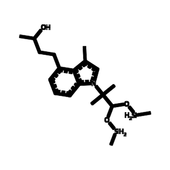 C[SiH2]OC(O[SiH2]C)C(C)(C)n1cc(C)c2c(CCC(C)O)cccc21